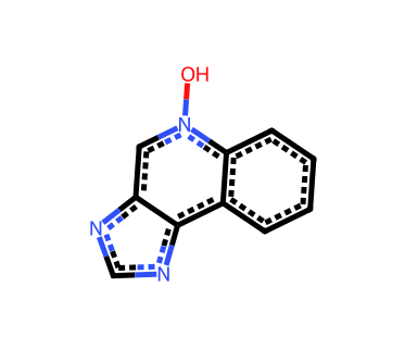 On1cc2ncnc-2c2ccccc21